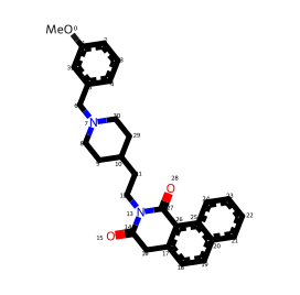 COc1cccc(CN2CCC(CCN3C(=O)Cc4ccc5ccccc5c4C3=O)CC2)c1